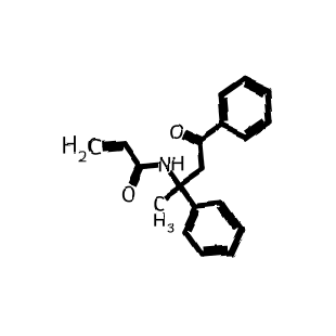 C=CC(=O)NC(C)(CC(=O)c1ccccc1)c1ccccc1